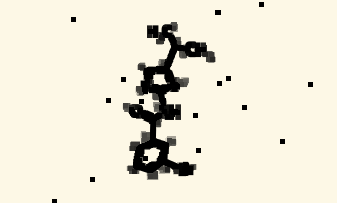 CC(C)c1cnc(NC(=O)c2cccc(Br)c2)s1